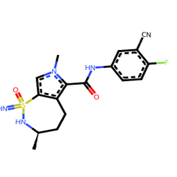 C[C@@H]1CCc2c(cn(C)c2C(=O)Nc2ccc(F)c(C#N)c2)S(=N)(=O)N1